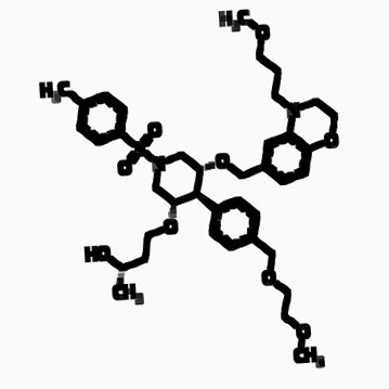 COCCCN1CCOc2ccc(CO[C@H]3CN(S(=O)(=O)c4ccc(C)cc4)C[C@@H](OCC[C@H](C)O)[C@@H]3c3ccc(COCCOC)cc3)cc21